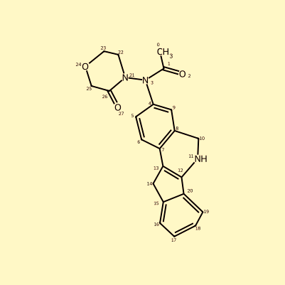 CC(=O)N(c1ccc2c(c1)CNC1=C2Cc2ccccc21)N1CCOCC1=O